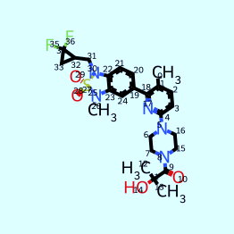 Cc1ccc(N2CCN(C(=O)C(C)(C)O)CC2)nc1-c1ccc2c(c1)N(C)S(=O)(=O)N2CC1CC1(F)F